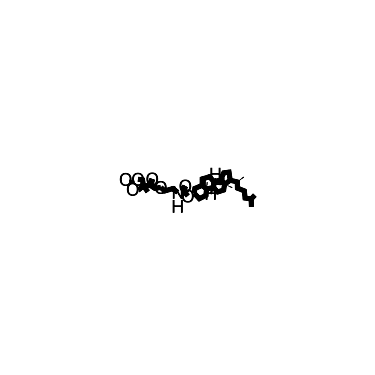 CC(C)CCC[C@@H](C)C1CC[C@H]2[C@@H]3CC=C4CC(OC(=O)NCCOCC(=O)C5(C)COC(=O)OC5)CC[C@]4(C)[C@H]3CC[C@]12C